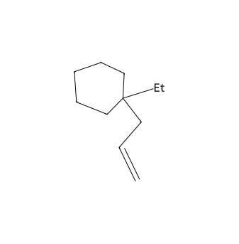 [CH2]CC1(CC=C)CCCCC1